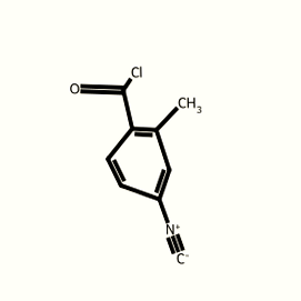 [C-]#[N+]c1ccc(C(=O)Cl)c(C)c1